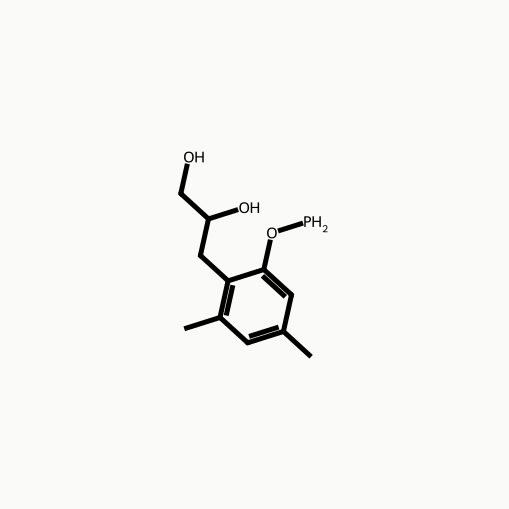 Cc1cc(C)c(CC(O)CO)c(OP)c1